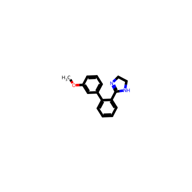 COc1cccc(-c2ccccc2C2=NCCN2)c1